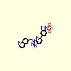 CS(=O)(=O)Nc1ccc(-c2ccc3nnn(Cc4ccc5ncccc5c4)c3n2)cc1